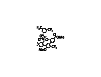 COC(=O)c1ccc(-c2cc(C3=C(CN4C(=O)O[C@H](c5cc(C(F)(F)F)cc(C(F)(F)F)c5)[C@@H]4C)CC(C)(C)CC3)c(OC)cc2C(F)(F)F)c(Cl)c1